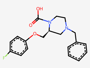 O=C(O)N1CCN(Cc2ccccc2)C[C@H]1COc1ccc(F)cc1